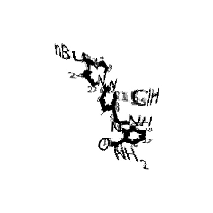 CCCCN1CCN(c2ccc(-c3nc4c(C(N)=O)cccc4[nH]3)cn2)CC1.Cl